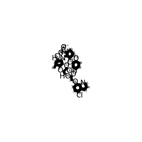 Cc1cc(Cl)ccc1OC(C)C(=O)O.Nc1c([N+](=O)[O-])ccc(Oc2ccccc2)c1Cl.O=C(O)COc1ccc(Cl)c2cccnc12